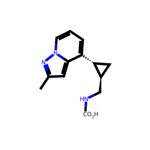 Cc1cc2c([C@@H]3C[C@H]3CNC(=O)O)cccn2n1